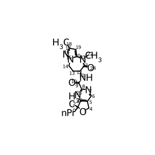 CCCC1(C)OCc2cnc(C(=O)N[C@H]3CCn4nc(C)cc4N(C)C3=O)nc21